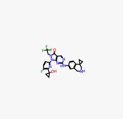 O=c1c2cnc(Nc3ccc4c(c3)CNCC43CC3)nc2n(-c2ccc(F)c(C3(O)CC3)n2)n1CC(F)(F)F